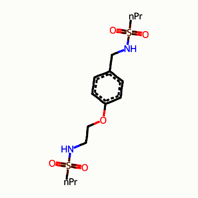 CCCS(=O)(=O)NCCOc1ccc(CNS(=O)(=O)CCC)cc1